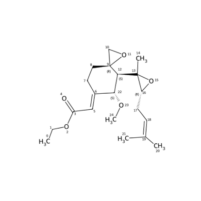 CCOC(=O)C=C1CC[C@]2(CO2)[C@@H](C2(C)O[C@@H]2CC=C(C)C)[C@@H]1OC